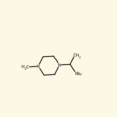 CC(N1CCN(C)CC1)C(C)(C)C